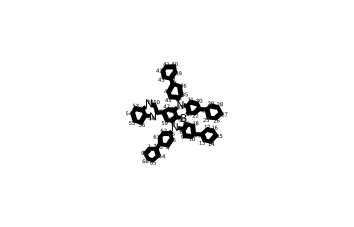 C1=CC(c2ccc(N3c4ccc(-c5ccccc5)cc4B4c5cc(-c6ccccc6)ccc5N(c5ccc(-c6ccccc6)cc5)c5cc(-c6cnc7ccccc7n6)cc3c54)cc2)=CCC1